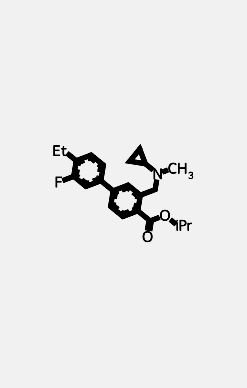 CCc1ccc(-c2ccc(C(=O)OC(C)C)c(CN(C)C3CC3)c2)cc1F